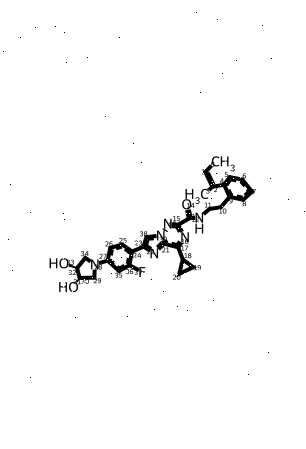 C/C=C(/C)c1ccccc1CCNC(=O)c1nc(C2CC2)c2nc(-c3ccc(N4C[C@H](O)[C@@H](O)C4)cc3F)cn2n1